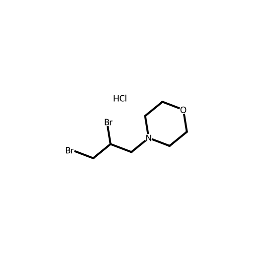 BrCC(Br)CN1CCOCC1.Cl